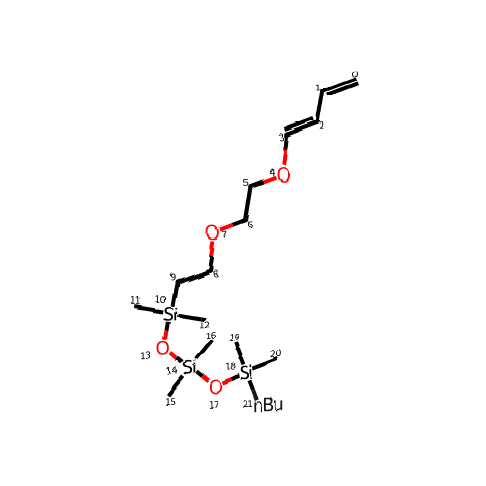 C=CC=COCCOCC[Si](C)(C)O[Si](C)(C)O[Si](C)(C)CCCC